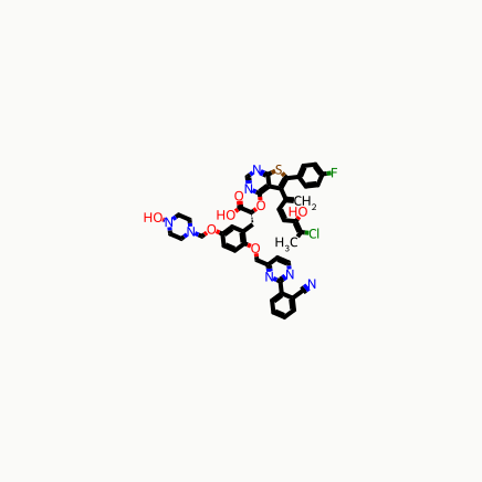 C=C(/C=C\C(O)=C(/C)Cl)c1c(-c2ccc(F)cc2)sc2ncnc(O[C@H](Cc3cc(OCN4CCN(O)CC4)ccc3OCc3ccnc(-c4ccccc4C#N)n3)C(=O)O)c12